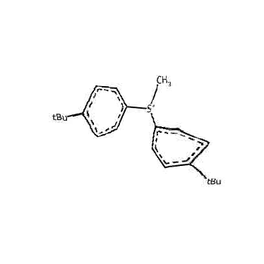 C[S+](c1ccc(C(C)(C)C)cc1)c1ccc(C(C)(C)C)cc1